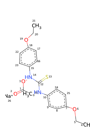 CC(=O)[O-].CCOc1ccc(NC(=S)Nc2ccc(OCC)cc2)cc1.[Na+]